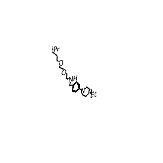 CCN1CCN(c2ccc(CNCCOCCOCCCC(C)C)cc2)CC1